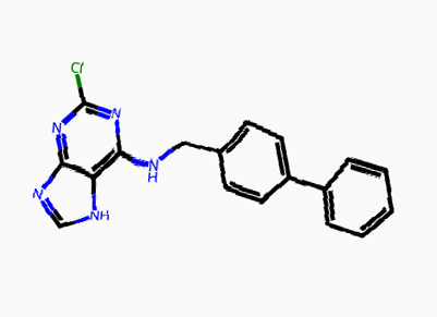 Clc1nc(NCc2ccc(-c3ccccc3)cc2)c2[nH]cnc2n1